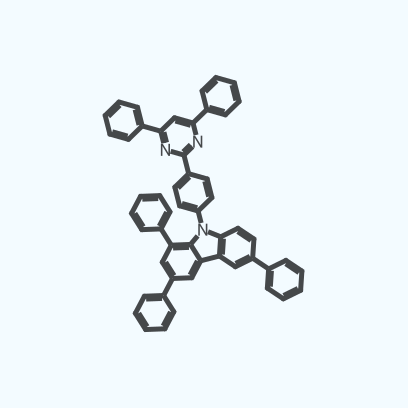 c1ccc(-c2ccc3c(c2)c2cc(-c4ccccc4)cc(-c4ccccc4)c2n3-c2ccc(-c3nc(-c4ccccc4)cc(-c4ccccc4)n3)cc2)cc1